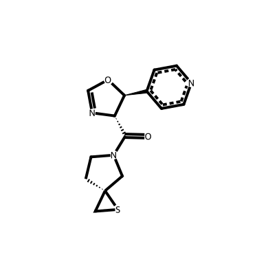 O=C([C@@H]1N=CO[C@H]1c1ccncc1)N1CC[C@]2(CS2)C1